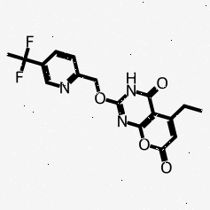 CCc1cc(=O)oc2nc(OCc3ccc(C(C)(F)F)cn3)[nH]c(=O)c12